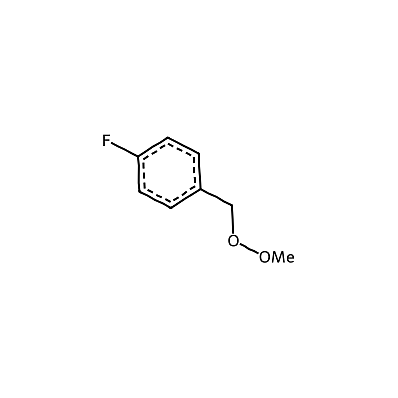 COOCc1ccc(F)cc1